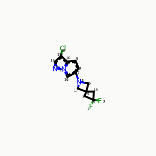 FC1(F)CC2(CN(c3ccc4c(Cl)cnn4c3)C2)C1